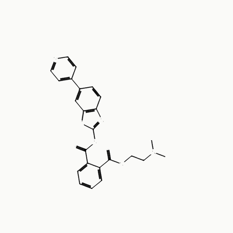 CN(C)CCNC(=O)c1ccccc1C(=O)Nc1nc2ccc(-c3ccncc3)cc2s1